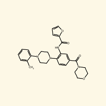 Cc1ccccc1N1CCN(c2ccc(C(=O)N3CCOCC3)cc2NC(=O)c2ccco2)CC1